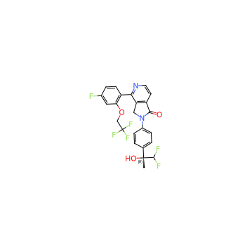 C[C@@](O)(c1ccc(N2Cc3c(ccnc3-c3ccc(F)cc3OCC(F)(F)F)C2=O)cc1)C(F)F